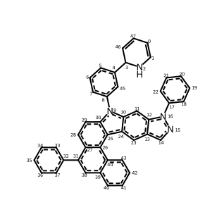 C1=CNC(c2cccc(-n3c4cc5c(cnn5-c5ccccc5)cc4c4c5c(ccc43)c(-c3ccccc3)cc3ccccc35)c2)C=C1